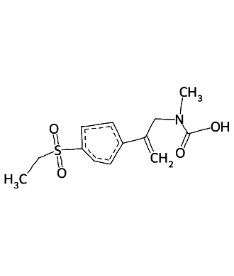 C=C(CN(C)C(=O)O)c1ccc(S(=O)(=O)CC)cc1